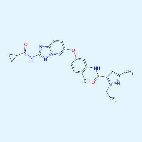 Cc1cc(C(=O)Nc2cc(Oc3ccc4nc(NC(=O)C5CC5)nn4c3)ccc2C)n(CC(F)(F)F)n1